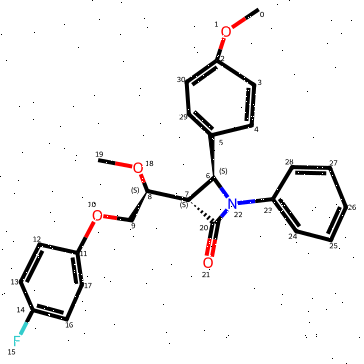 COc1ccc([C@@H]2[C@@H]([C@@H](COc3ccc(F)cc3)OC)C(=O)N2c2ccccc2)cc1